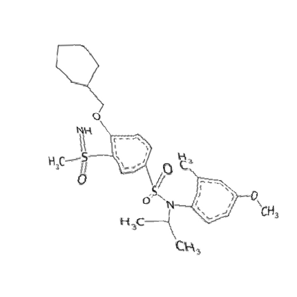 COc1ccc(N(C(C)C)S(=O)(=O)c2ccc(OCC3CCCCC3)c(S(C)(=N)=O)c2)c(C)c1